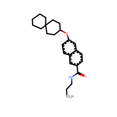 O=C(O)CCNC(=O)c1ccc2cc(OC3CCC4(CCCCC4)CC3)ccc2c1